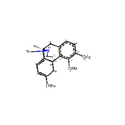 COC1=CC=C2[C@H]3Cc4ccc(OC(C)=O)c(OC)c4[C@@]2(CCN3C)C1